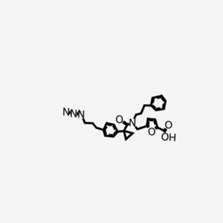 [N-]=[N+]=NCCCc1ccc(C2(C(=O)N(CCCc3ccccc3)Cc3ccc(C(=O)O)o3)CC2)cc1